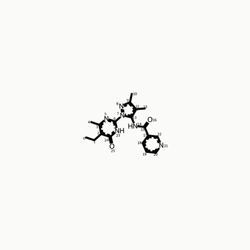 CCc1c(C)nc(-n2nc(C)c(C)c2NC(=O)c2cccnc2)[nH]c1=O